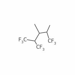 CC(C(C)C(F)(F)F)C(C(F)(F)F)C(F)(F)F